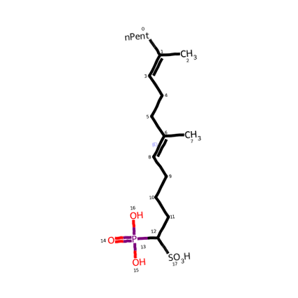 CCCCCC(C)=CCC/C(C)=C/CCCC(P(=O)(O)O)S(=O)(=O)O